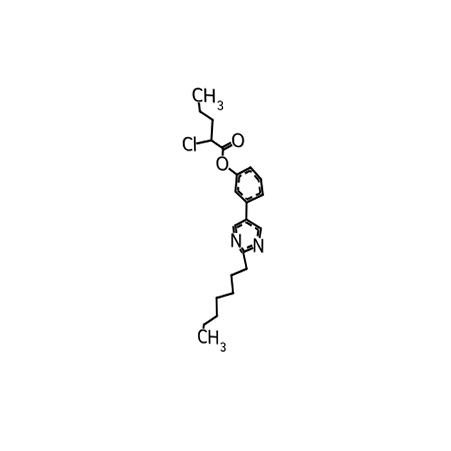 CCCCCCCc1ncc(-c2cccc(OC(=O)C(Cl)CCC)c2)cn1